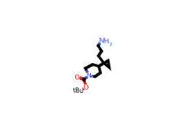 CC(C)(C)OC(=O)N1CCC(C2(CCCN)CC2)CC1